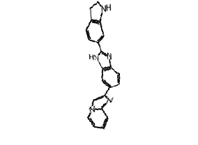 c1ccn2cc(-c3ccc4nc(-c5ccc6c(c5)NCC6)[nH]c4c3)nc2c1